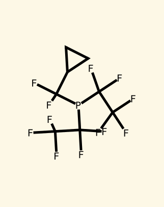 FC(F)(C1CC1)P(C(F)(F)C(F)(F)F)C(F)(F)C(F)(F)F